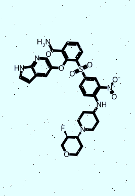 NC(=O)c1cccc(S(=O)(=O)c2ccc(NC3CCN([C@H]4CCOC[C@H]4F)CC3)c([N+](=O)[O-])c2)c1Oc1cnc2[nH]ccc2c1